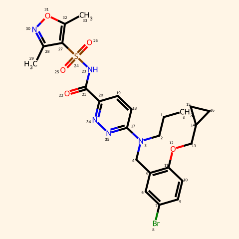 CCCN(Cc1cc(Br)ccc1OCC1CC1)c1ccc(C(=O)NS(=O)(=O)c2c(C)noc2C)nn1